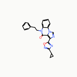 O=c1c2c(-c3nc(C4CC4)no3)ncn2c2ccccc2n1CCc1ccccc1